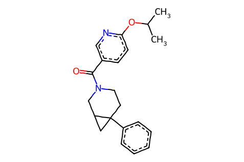 CC(C)Oc1ccc(C(=O)N2CCC3(c4ccccc4)CC3C2)cn1